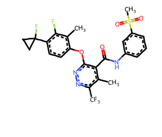 Cc1c(Oc2nnc(C(F)(F)F)c(C)c2C(=O)Nc2cccc(S(C)(=O)=O)c2)ccc(C2(F)CC2)c1F